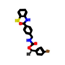 CC[C@H](OC(=O)NCc1ccc(C(=O)Nc2ccccc2S)cc1)c1ccc(Br)cc1